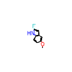 COc1ccc2[nH]c(F)cc2c1